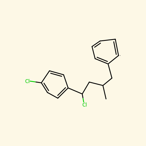 CC(Cc1[c]cccc1)CC(Cl)c1ccc(Cl)cc1